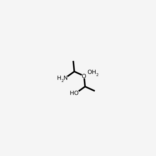 CC(N)OC(C)O.O